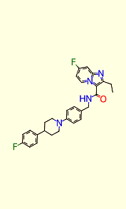 CCc1nc2cc(F)ccn2c1C(=O)NCc1ccc(N2CCC(c3ccc(F)cc3)CC2)cc1